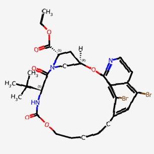 CCOC(=O)[C@@H]1C[C@@H]2CN1C(=O)[C@H](C(C)(C)C)NC(=O)OCCCCCc1cc(Br)c3ccnc(c3c1Br)O2